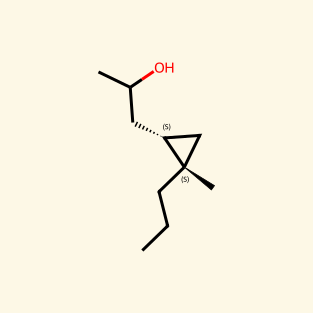 CCC[C@@]1(C)C[C@H]1CC(C)O